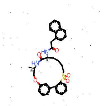 C[C@@H]1COc2cccc(c2)-c2ccccc2S(=O)(=O)CCCC[C@H](NC(=O)Cc2cccc3ccccc23)C(=O)N1